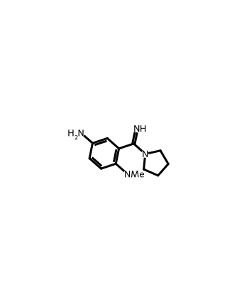 CNc1ccc(N)cc1C(=N)N1CCCC1